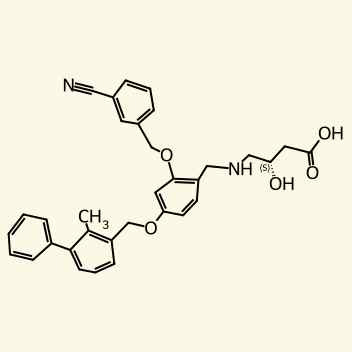 Cc1c(COc2ccc(CNC[C@@H](O)CC(=O)O)c(OCc3cccc(C#N)c3)c2)cccc1-c1ccccc1